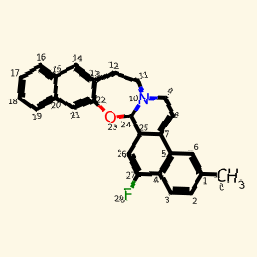 Cc1ccc2c(c1)C1=CCN3CCc4cc5ccccc5cc4OC3C1C=C2F